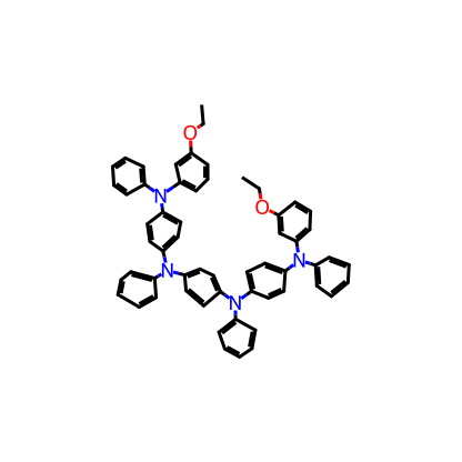 CCOc1cccc(N(c2ccccc2)c2ccc(N(c3ccccc3)c3ccc(N(c4ccccc4)c4ccc(N(c5ccccc5)c5cccc(OCC)c5)cc4)cc3)cc2)c1